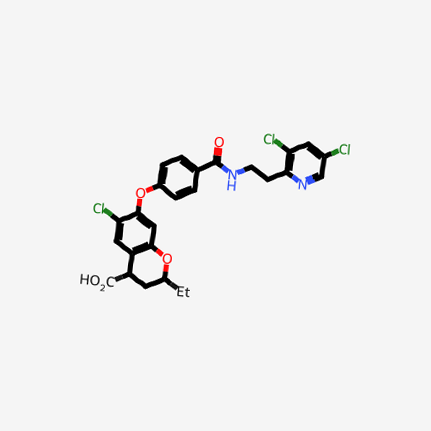 CCC1CC(C(=O)O)c2cc(Cl)c(Oc3ccc(C(=O)NCCc4ncc(Cl)cc4Cl)cc3)cc2O1